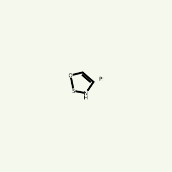 C1=COSN1.[P]